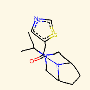 CC(C)N1CC2CCC(C1)N2C(=O)c1cncs1